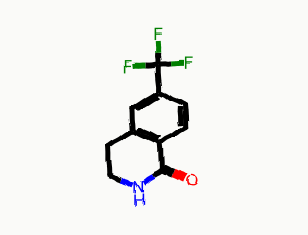 O=C1NCCc2cc(C(F)(F)F)ccc21